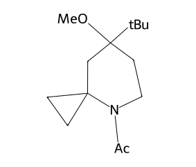 COC1(C(C)(C)C)CCN(C(C)=O)C2(CC2)C1